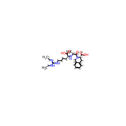 CCN=C(NCC)NCCCC[C@H](N[C@@H](C)C(=O)N1Cc2ccccc2C[C@H]1C(=O)O)C(=O)O